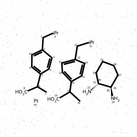 CC(C)Cc1ccc(C(C)C(=O)O)cc1.CC(C)Cc1ccc(C(C)C(=O)O)cc1.N[C@@H]1CCCC[C@H]1N.[Pt]